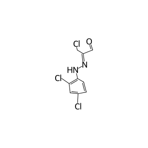 O=CC(CCl)=NNc1ccc(Cl)cc1Cl